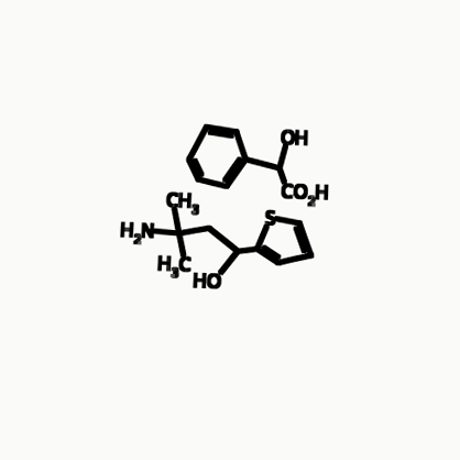 CC(C)(N)CC(O)c1cccs1.O=C(O)C(O)c1ccccc1